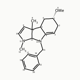 CO[C@@H]1CC=C2C(C1)C1(C)C=CN(C)C1N2Cc1ccccc1